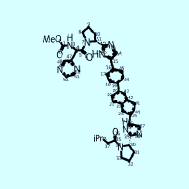 COC(=O)NC(C(=O)N1CCC[C@H]1c1ncc(-c2ccc(-c3ccc4cc(-c5cnc([C@@H]6CCCN6C(=O)CC(C)C)[nH]5)ccc4c3)cc2)[nH]1)c1cnccn1